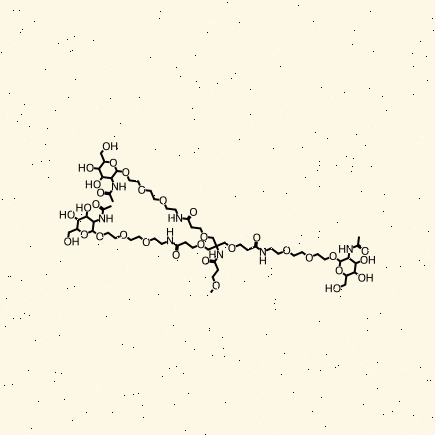 COCCC(=O)NC(COCCC(=O)NCCOCCOCCOC1OC(CO)C(O)C(O)C1NC(C)=O)(COCCC(=O)NCCOCCOCCOC1OC(CO)C(O)C(O)C1NC(C)=O)COCCC(=O)NCCOCCOCCOC1OC(CO)C(O)C(O)C1NC(C)=O